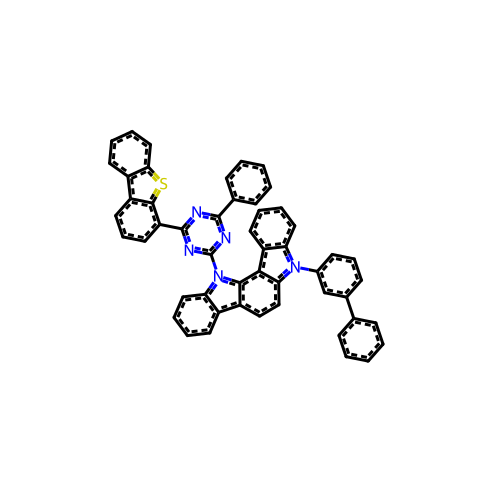 c1ccc(-c2cccc(-n3c4ccccc4c4c3ccc3c5ccccc5n(-c5nc(-c6ccccc6)nc(-c6cccc7c6sc6ccccc67)n5)c34)c2)cc1